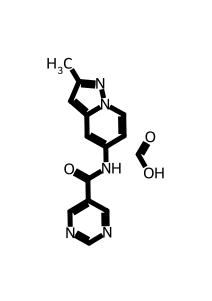 Cc1cc2cc(NC(=O)c3cncnc3)ccn2n1.O=CO